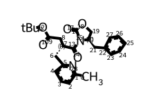 Cc1cccc(C[C@H](CC(=O)OC(C)(C)C)C(=O)N2C(=O)OC[C@H]2Cc2ccccc2)n1